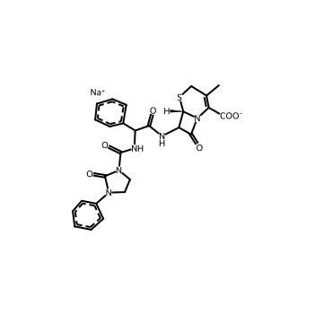 CC1=C(C(=O)[O-])N2C(=O)C(NC(=O)C(NC(=O)N3CCN(c4ccccc4)C3=O)c3ccccc3)[C@@H]2SC1.[Na+]